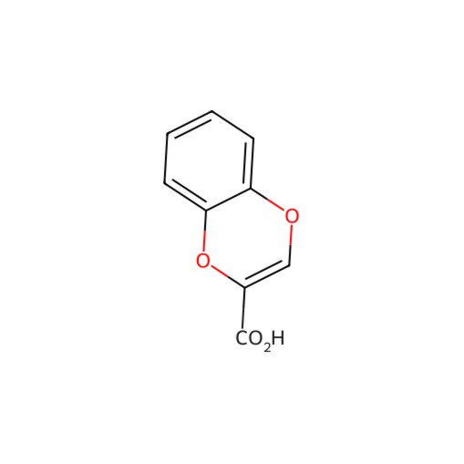 O=C(O)C1=COc2ccccc2O1